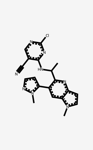 CC(Nc1nc(Cl)ncc1C#N)c1nc2ccn(C)c2cc1-c1ccnn1C